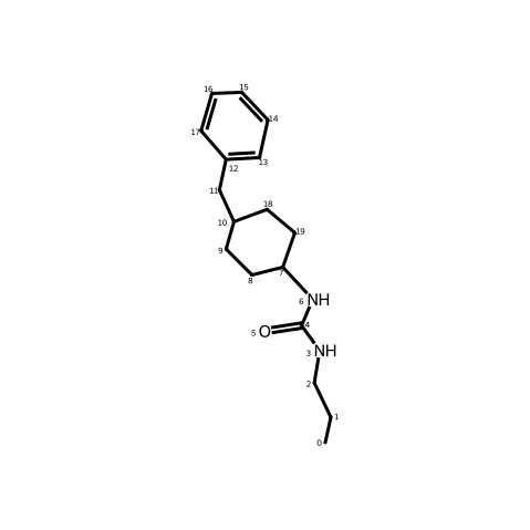 CCCNC(=O)NC1CCC(Cc2ccccc2)CC1